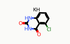 O=c1[nH]c(=O)c2c(Cl)cccc2[nH]1.[KH]